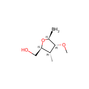 B[C@@H]1O[C@H](CO)[C@@H](C)[C@H]1OC